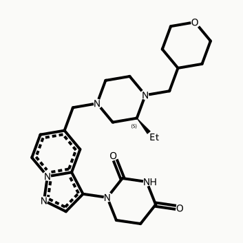 CC[C@H]1CN(Cc2ccn3ncc(N4CCC(=O)NC4=O)c3c2)CCN1CC1CCOCC1